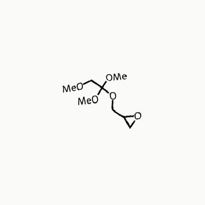 COCC(OC)(OC)OCC1CO1